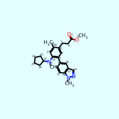 COC(=O)CCc1cc(-c2ccc3c(cnn3C)c2)c(N(C)C2CCCC2)cc1C